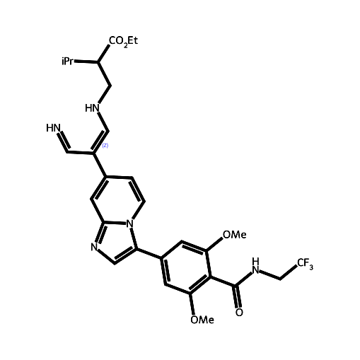 CCOC(=O)C(CN/C=C(\C=N)c1ccn2c(-c3cc(OC)c(C(=O)NCC(F)(F)F)c(OC)c3)cnc2c1)C(C)C